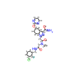 CC(C)N(CC(=O)NCc1cccc(Cl)c1F)C(=O)Cn1nc(C(N)=O)c2cc(Oc3ncccn3)ccc21